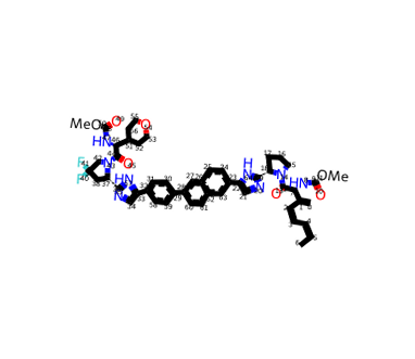 C=C(/C=C\C=C/C)[C@@H](NC(=O)OC)C(=O)N1CCC[C@H]1c1ncc(-c2ccc3cc(-c4ccc(-c5cnc([C@@H]6CC(F)(F)CN6C(=O)[C@@H](NC(=O)OC)C6CCOCC6)[nH]5)cc4)ccc3c2)[nH]1